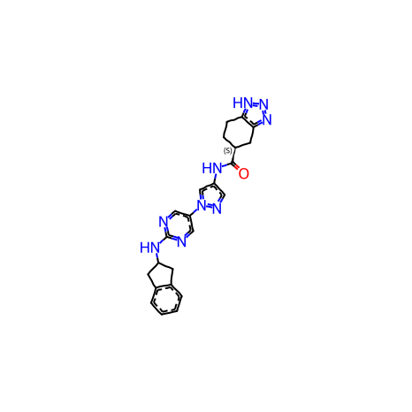 O=C(Nc1cnn(-c2cnc(NC3Cc4ccccc4C3)nc2)c1)[C@H]1CCc2[nH]nnc2C1